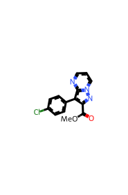 COC(=O)c1nn2cccnc2c1-c1ccc(Cl)cc1